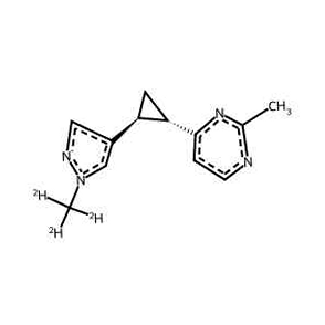 [2H]C([2H])([2H])n1cc([C@H]2C[C@@H]2c2ccnc(C)n2)cn1